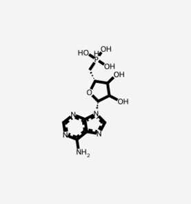 Nc1ncnc2c1ncn2[C@@H]1O[C@H](C[PH](O)(O)O)C(O)C1O